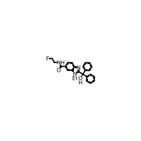 CCn1c(C(O)(c2ccccc2)c2ccccc2)nc2ccc(C(=O)NCCF)cc21